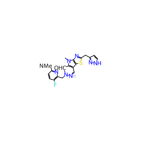 CNc1ccc(F)c(CN(C)/N=C\c2c(C=O)n(C)c3nc(Cc4cc[nH]n4)sc23)n1